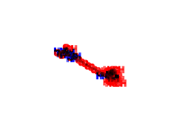 O=C(O)CCC(NC(=O)CN1C(=O)C=CC1=O)C(=O)NCC(=O)NCC(=O)NCC(=O)NCCOCCOCCOCCOCCOCCOCCOCCOCCC(=O)NC(CCC(=O)NCC(O)C(O)C(O)C(O)CO)C(=O)NC[C@H](O)[C@@H](O)[C@H](O)[C@H](O)CO